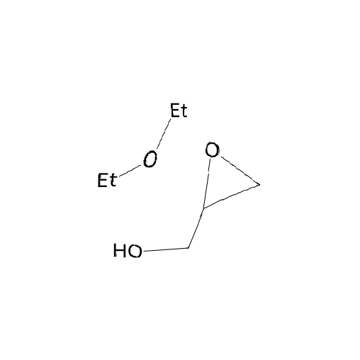 CCOCC.OCC1CO1